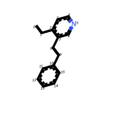 CCc1ccncc1CCc1ccccc1